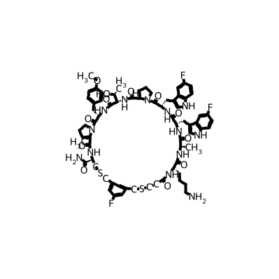 COc1ccc(C[C@@H]2NC(=O)[C@H]([C@@H](C)O)NC(=O)[C@@H]3CCCN3C(=O)[C@H](Cc3c[nH]c4ccc(F)cc34)NC(=O)[C@H](Cc3c[nH]c4ccc(F)cc34)NC(=O)[C@@H](C)NC(=O)[C@H](CCCCN)NC(=O)CCSCc3cc(F)cc(c3)CSC[C@@H](C(N)=O)NC(=O)[C@]3(C)CCCN3C2=O)cc1